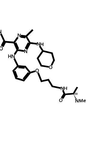 CN[C@@H](C)C(=O)NCCCOc1cccc(Nc2nc(NC3CCOCC3)c(C)nc2C(N)=O)c1